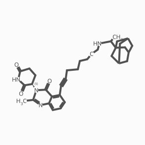 Cc1nc2cccc(C#CCCCCCCNC(C)C34CC5CC(CC(C5)C3)C4)c2c(=O)n1[C@H]1CCC(=O)NC1=O